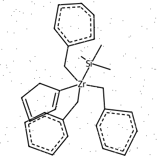 C[Si](C)(C)[Zr]([CH2]c1ccccc1)([CH2]c1ccccc1)([CH2]c1ccccc1)[C]1=CC=CC1